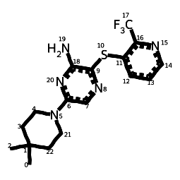 CC1(C)CCN(c2cnc(Sc3cccnc3C(F)(F)F)c(N)n2)CC1